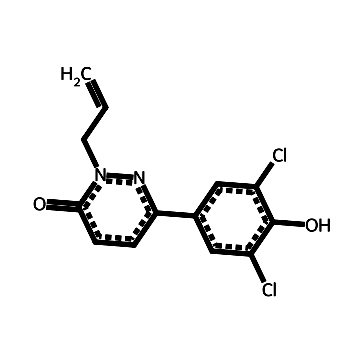 C=CCn1nc(-c2cc(Cl)c(O)c(Cl)c2)ccc1=O